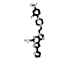 C[S@@+]([O-])c1ccc(N2CCN(CCn3cnc4c3nc(N)n3nc(-c5ccco5)cc43)CC2)c(F)c1